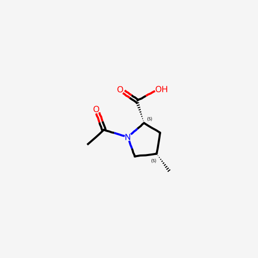 CC(=O)N1C[C@@H](C)C[C@H]1C(=O)O